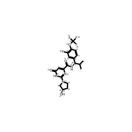 CC(C)[C@@H](NC(=O)c1cc(=O)[nH]c(N2CC[C@@H](O)C2)n1)c1ccc(OC(F)(F)F)c(F)c1